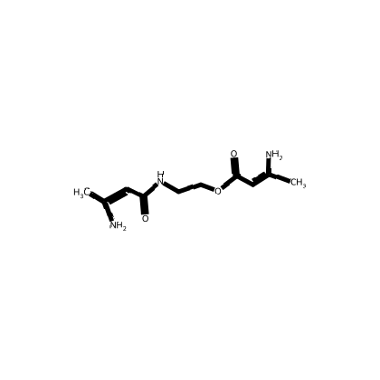 C/C(N)=C/C(=O)NCCOC(=O)/C=C(/C)N